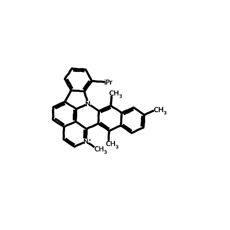 Cc1ccc2c(C)c3c(c(C)c2c1)n1c2c(C(C)C)cccc2c2ccc4cc[n+](C)c3c4c21